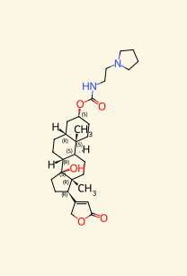 C[C@]12CC[C@H](OC(=O)NCCN3CCCC3)C[C@H]1CC[C@@H]1[C@@H]2CC[C@]2(C)[C@@H](C3=CC(=O)OC3)CC[C@]12O